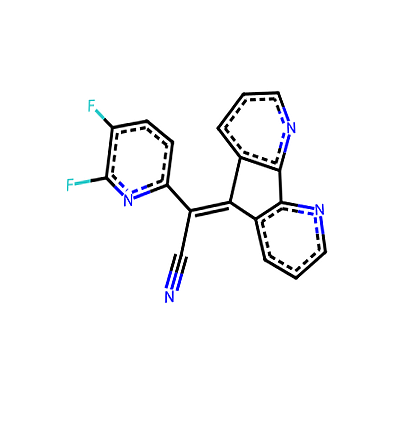 N#CC(=C1c2cccnc2-c2ncccc21)c1ccc(F)c(F)n1